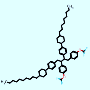 CCCCCCCCCCC1CCC(c2ccc(CC(c3ccc(OC(F)F)cc3)C(Cc3ccc(OC(F)F)cc3)c3ccc(C4CCC(CCCCCCCCC)CC4)cc3)cc2)CC1